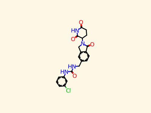 O=C1CCC(N2Cc3cc(CNC(=O)Nc4cccc(Cl)c4)ccc3C2=O)C(=O)N1